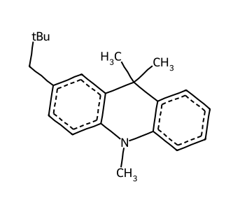 CN1c2ccccc2C(C)(C)c2cc(CC(C)(C)C)ccc21